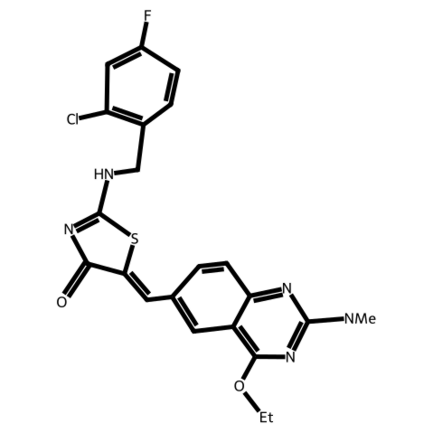 CCOc1nc(NC)nc2ccc(/C=C3\SC(NCc4ccc(F)cc4Cl)=NC3=O)cc12